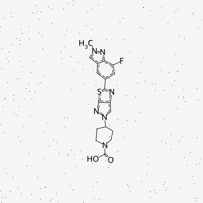 Cn1cc2cc(-c3nc4cn(C5CCN(C(=O)O)CC5)nc4s3)cc(F)c2n1